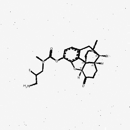 CN(CC(F)CN)C(=O)Oc1ccc2c3c1O[C@H]1C(=O)CC[C@H]4[C@@H](C2)N(C)CC[C@]314